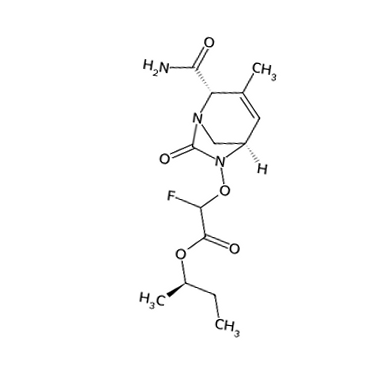 CC[C@@H](C)OC(=O)C(F)ON1C(=O)N2C[C@H]1C=C(C)[C@H]2C(N)=O